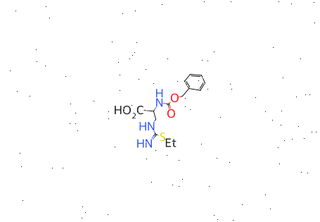 CCSC(=N)NCC(NC(=O)OCc1ccccc1)C(=O)O